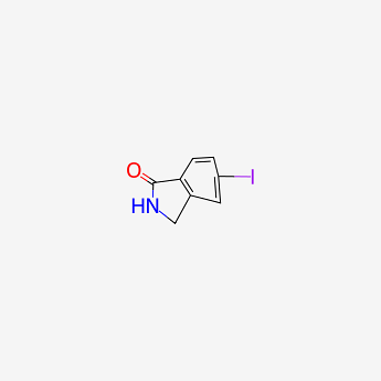 O=C1NCc2cc(I)ccc21